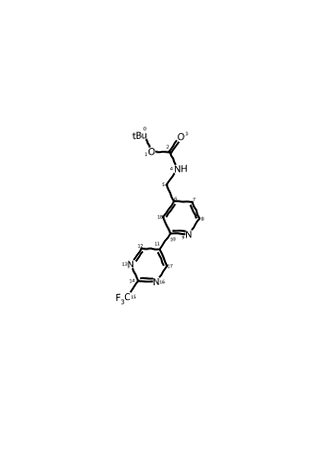 CC(C)(C)OC(=O)NCc1ccnc(-c2cnc(C(F)(F)F)nc2)c1